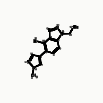 Cn1cc(-c2ccc3c(nnn3CC(C)(C)C)c2Br)cn1